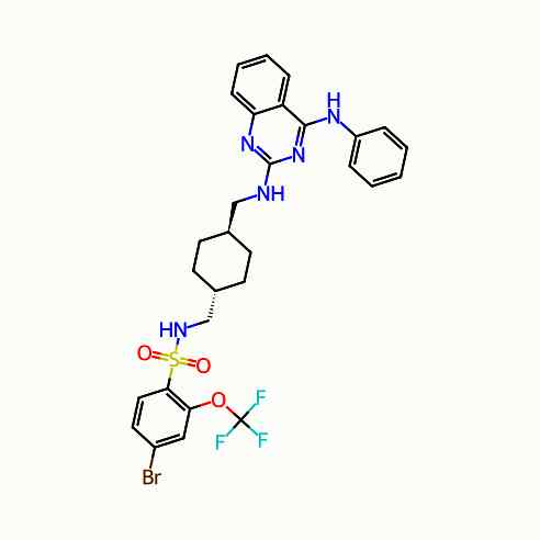 O=S(=O)(NC[C@H]1CC[C@H](CNc2nc(Nc3ccccc3)c3ccccc3n2)CC1)c1ccc(Br)cc1OC(F)(F)F